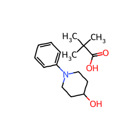 CC(C)(C)C(=O)O.OC1CCN(c2ccccc2)CC1